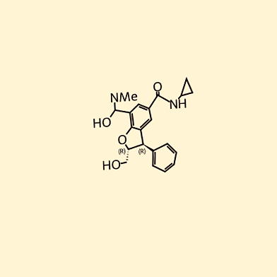 CNC(O)c1cc(C(=O)NC2CC2)cc2c1O[C@@H](CO)[C@@H]2c1ccccc1